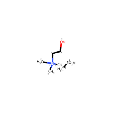 CS(=O)(=O)O.C[N+](C)(C)CCO